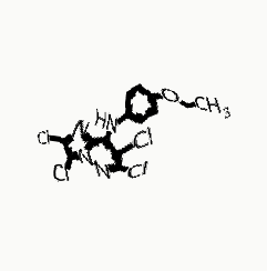 CCOc1ccc(Nc2c(Cl)c(Cl)nn3c(Cl)c(Cl)nc23)cc1